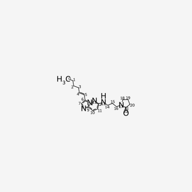 CCCC/C=C/c1cnc2ccc(NCCCN3CCCC3=O)nn12